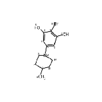 CC1CCN(c2cc(O)c(Br)c(O)c2)CC1